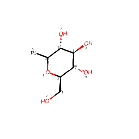 OC[C@H]1O[CH]([Pt])[C@H](O)[C@@H](O)[C@@H]1O